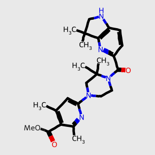 COC(=O)c1c(C)cc(N2CCN(C(=O)c3ccc4c(n3)C(C)(C)CN4)C(C)(C)C2)nc1C